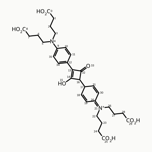 O=C(O)CCCN(CCCC(=O)O)c1ccc(C2=C(O)C(C3C=CC(=[N+](CCCC(=O)O)CCCC(=O)O)C=C3)C2=O)cc1